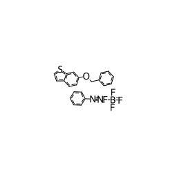 F[B-](F)(F)F.N#[N+]c1ccccc1.c1ccc(COc2ccc3ccsc3c2)cc1